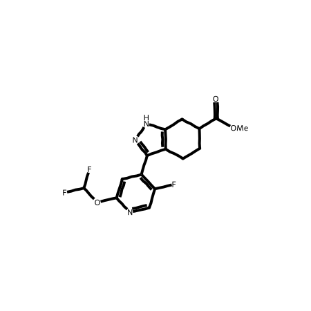 COC(=O)C1CCc2c(-c3cc(OC(F)F)ncc3F)n[nH]c2C1